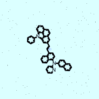 C(=C\c1ccc(N(c2ccc3ccccc3c2)c2ccccn2)c2ccccc12)/c1cc2ccc3cccc4c3c2c(c1)n4-c1ccccc1